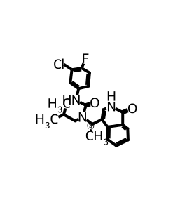 CC(C)CN(C(=O)Nc1ccc(F)c(Cl)c1)[C@@H](C)c1c[nH]c(=O)c2ccccc12